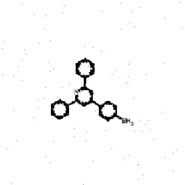 Bc1ccc(-c2cc(-c3ccccc3)nc(-c3ccccc3)c2)cc1